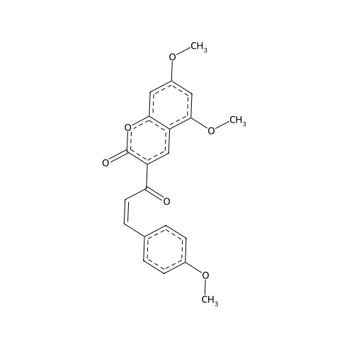 COc1ccc(/C=C\C(=O)c2cc3c(OC)cc(OC)cc3oc2=O)cc1